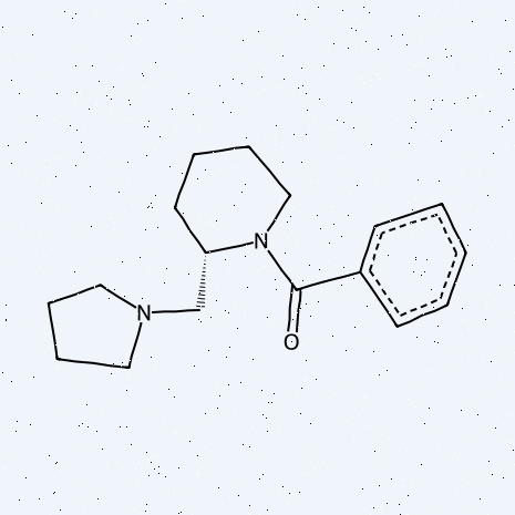 O=C(c1ccccc1)N1CCCC[C@H]1CN1CCCC1